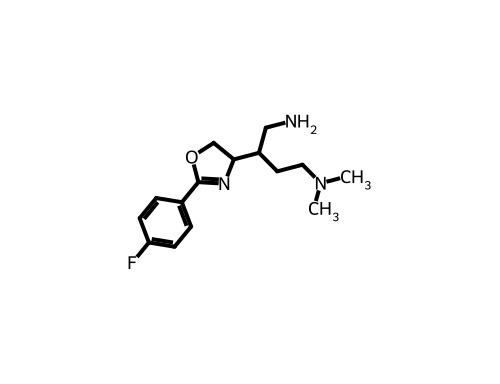 CN(C)CCC(CN)C1COC(c2ccc(F)cc2)=N1